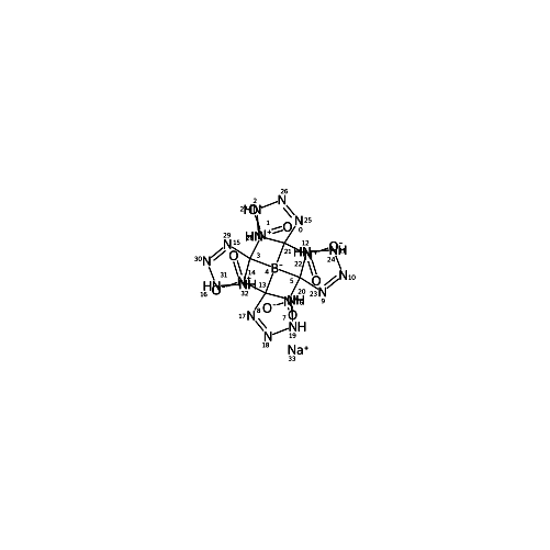 O=[N+]([O-])C1([B-](C2([N+](=O)[O-])N=NNN2)(C2([N+](=O)[O-])N=NNN2)C2([N+](=O)[O-])N=NNN2)N=NNN1.[Na+]